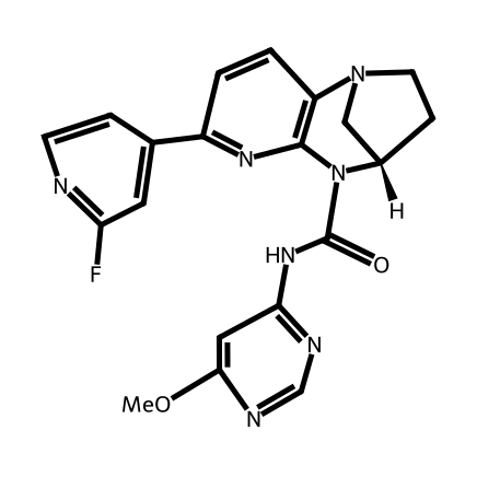 COc1cc(NC(=O)N2c3nc(-c4ccnc(F)c4)ccc3N3CC[C@H]2C3)ncn1